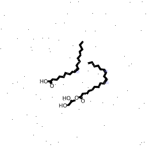 CCCCC/C=C\C/C=C\CCCCCCCC(=O)OCC(O)CO.CCCCCCCC/C=C\CCCCCCCC(=O)O